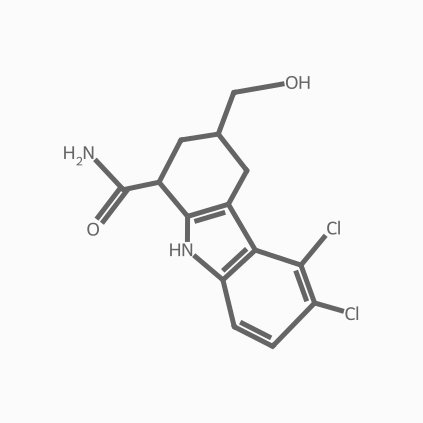 NC(=O)C1CC(CO)Cc2c1[nH]c1ccc(Cl)c(Cl)c21